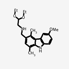 CCOC(CNCc1cc(C)c2[nH]c3ccc(OC)cc3c2c1C)OCC